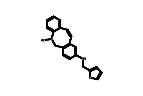 CC(=O)N1Cc2ccc(NCc3ccco3)cc2/C=C\c2ccccc21